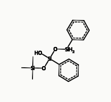 C[Si](C)(C)O[Si](O)(O[SiH2]c1ccccc1)c1ccccc1